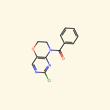 O=C(c1ccccc1)N1CCOc2cnc(Cl)nc21